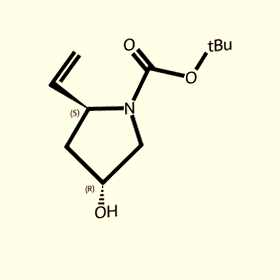 C=C[C@@H]1C[C@@H](O)CN1C(=O)OC(C)(C)C